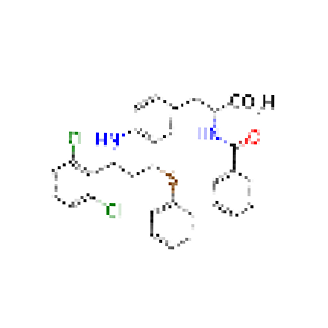 O=C(NC(Cc1ccc2c(c1)C(Sc1ccccc1)CC(c1c(Cl)cccc1Cl)N2)C(=O)O)c1ccccc1